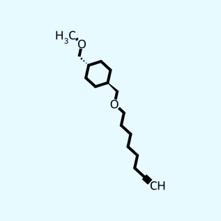 C#CCCCCCCOC[C@H]1CC[C@H](COC)CC1